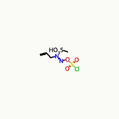 C=CCN=NOS(=O)(=O)Cl.CS(=O)(=O)O